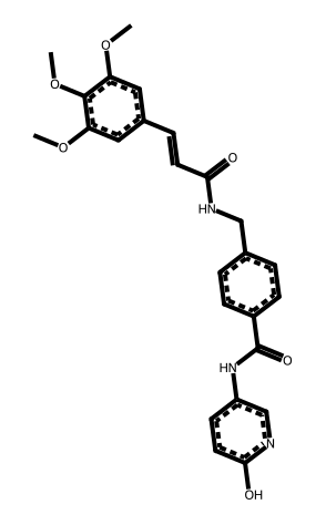 COc1cc(C=CC(=O)NCc2ccc(C(=O)Nc3ccc(O)nc3)cc2)cc(OC)c1OC